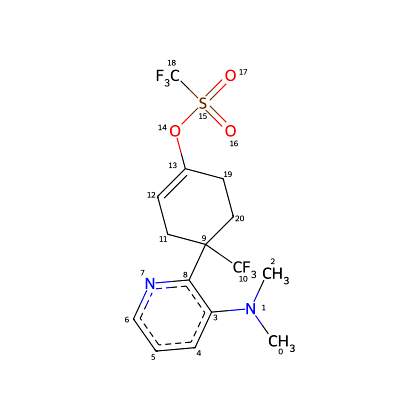 CN(C)c1cccnc1C1(C(F)(F)F)CC=C(OS(=O)(=O)C(F)(F)F)CC1